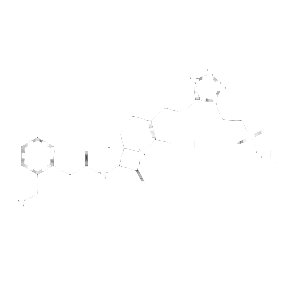 NCc1ccccc1CC(=O)NC1C(=O)N2C(C(=O)O)=C(CSc3nnnn3CCS(N)(=O)=O)CS[C@H]12